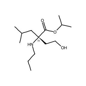 CCCN[C@](CCO)(CC(C)C)C(=O)OC(C)C